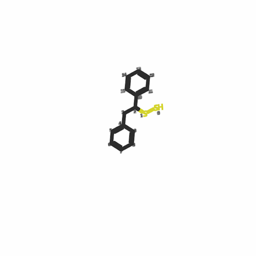 SSC(Cc1ccccc1)c1ccccc1